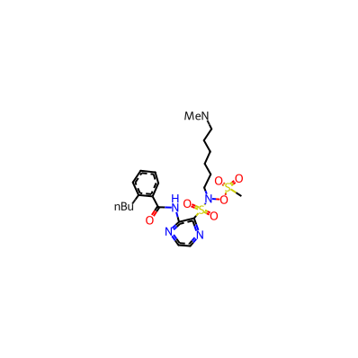 CCCCc1ccccc1C(=O)Nc1nccnc1S(=O)(=O)N(CCCCCCNC)OS(C)(=O)=O